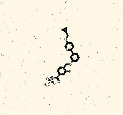 CS(=O)(=O)NC(=O)c1ccc(COc2cccc(-c3ccc(OCC4CC4)cn3)c2)c(F)c1